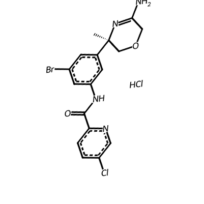 C[C@@]1(c2cc(Br)cc(NC(=O)c3ccc(Cl)cn3)c2)COCC(N)=N1.Cl